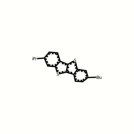 CCC(C)c1ccc2c(c1)sc1c3ccc(C(C)C)cc3sc21